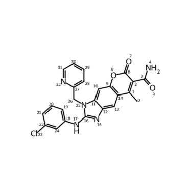 Cc1c(C(N)=O)c(=O)oc2cc3c(cc12)nc(Nc1cccc(Cl)c1)n3Cc1ccccn1